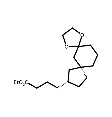 CCOC(=O)CCC[C@H]1CC[C@]2(CCCC3(C2)OCCO3)C1